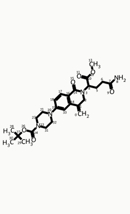 C=C1CN(C(CCC(N)=O)C(=O)OC)C(=O)c2ccc(N3CCN(C(=O)OC(C)(C)C)CC3)cc21